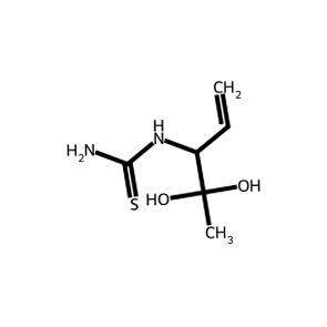 C=CC(NC(N)=S)C(C)(O)O